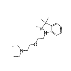 CCN(CC)CCOCCN1c2ccccc2C(C)(C)[C@H]1C